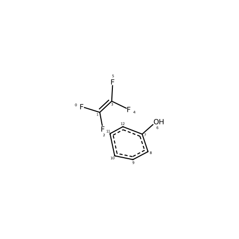 FC(F)=C(F)F.Oc1ccccc1